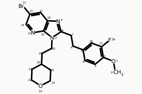 COc1ccc(CCc2nc3cc(Br)cnc3n2CCC2CCOCC2)cc1F